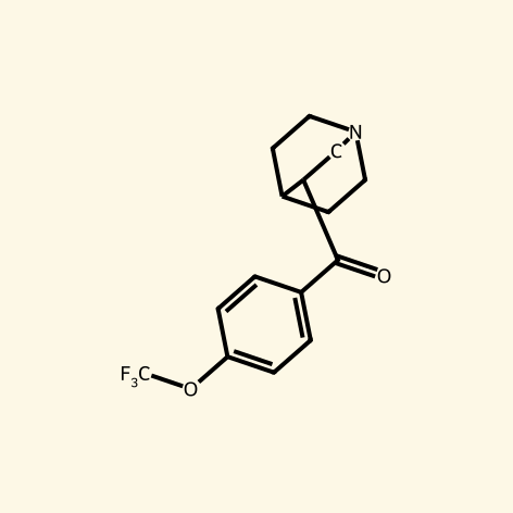 O=C(c1ccc(OC(F)(F)F)cc1)C1CN2CCC1CC2